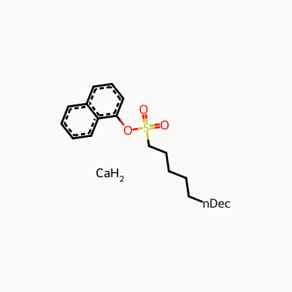 CCCCCCCCCCCCCCCS(=O)(=O)Oc1cccc2ccccc12.[CaH2]